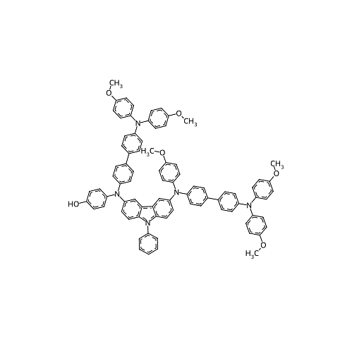 COc1ccc(N(c2ccc(OC)cc2)c2ccc(-c3ccc(N(c4ccc(O)cc4)c4ccc5c(c4)c4cc(N(c6ccc(OC)cc6)c6ccc(-c7ccc(N(c8ccc(OC)cc8)c8ccc(OC)cc8)cc7)cc6)ccc4n5-c4ccccc4)cc3)cc2)cc1